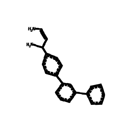 N/C=C\C(N)c1ccc(-c2cccc(-c3ccccc3)c2)cc1